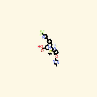 Cc1cnc(COc2ccc3[nH]c(C(Cc4ccc(-c5ccc(C(F)(F)F)nc5)cc4)N4CCC(C(=O)O)CC4)c(SC(C)(C)C)c3c2)cn1